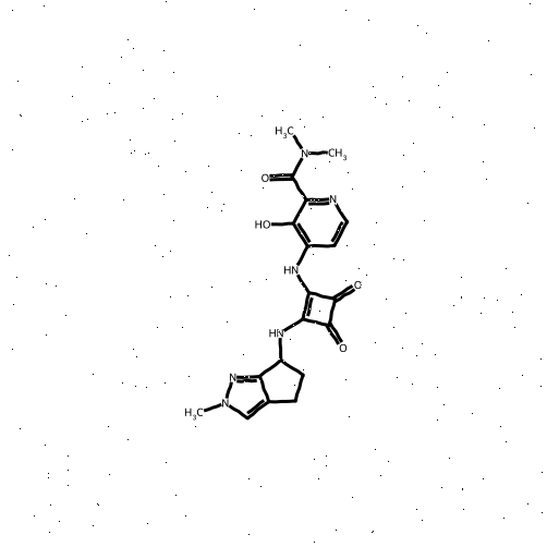 CN(C)C(=O)c1nccc(Nc2c(NC3CCc4cn(C)nc43)c(=O)c2=O)c1O